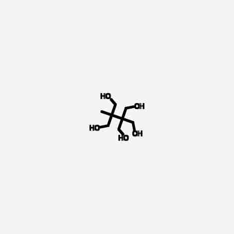 CC(CO)(CO)C(CO)(CO)CO